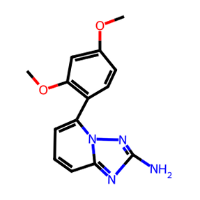 COc1ccc(-c2cccc3nc(N)nn23)c(OC)c1